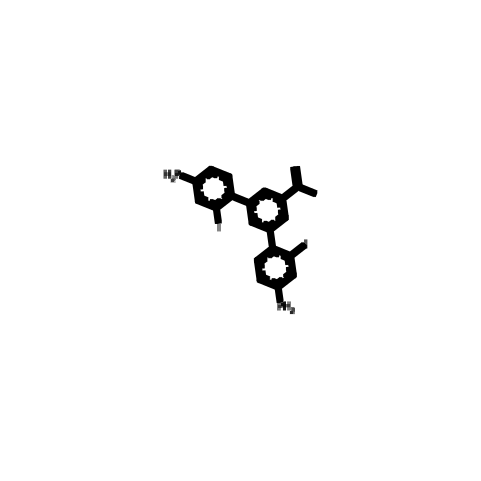 C=C(C)c1cc(-c2ccc(P)cc2I)cc(-c2ccc(P)cc2I)c1